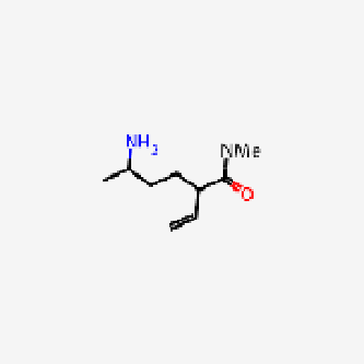 C=CC(CCC(C)N)C(=O)NC